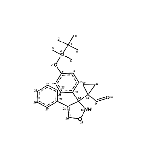 CC(C)(C)[Si](C)(C)Oc1ccc(C2(C3(C=O)CC3)NOC=C2c2ccccc2)cc1